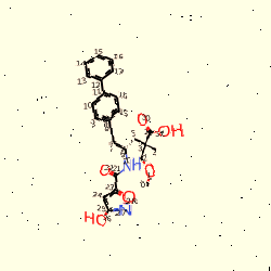 COC[C@](C)(C[C@@H](Cc1ccc(-c2ccccc2)cc1)NC(=O)c1cc(O)no1)C(=O)O